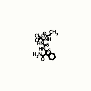 CCC(=O)NC(NC(=S)Nc1sc2c(c1C(N)=O)CCCC2)C(Cl)(Cl)Cl